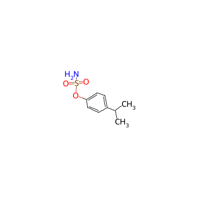 CC(C)c1ccc(OS(N)(=O)=O)cc1